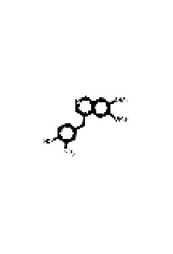 COc1cc2cncc(Cc3ccc(O)c([N+](=O)[O-])c3)c2cc1OC